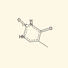 Cc1c[nH][13c](=O)[nH]c1=O